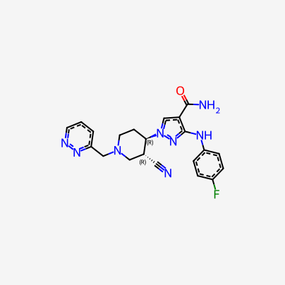 N#C[C@@H]1CN(Cc2cccnn2)CC[C@H]1n1cc(C(N)=O)c(Nc2ccc(F)cc2)n1